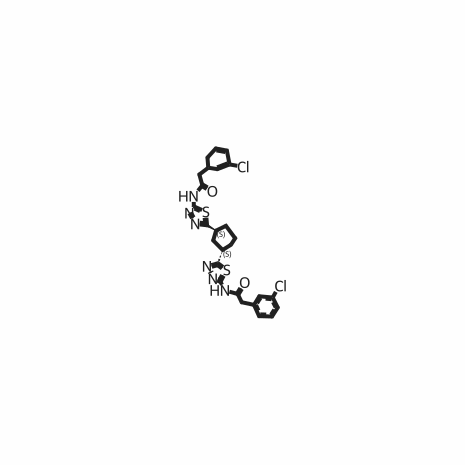 O=C(Cc1cccc(Cl)c1)Nc1nnc([C@H]2CCC[C@H](c3nnc(NC(=O)CC4C=C(Cl)C=CC4)s3)C2)s1